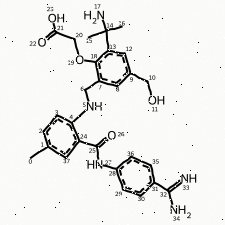 Cc1ccc(NCc2cc(CO)cc(C(C)(C)N)c2OCC(=O)O)c(C(=O)Nc2ccc(C(=N)N)cc2)c1